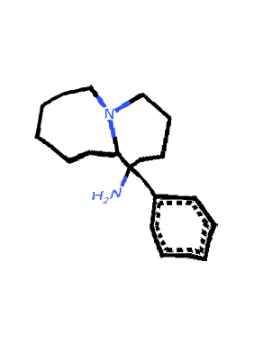 NC1(c2ccccc2)CCCN2CCCCC21